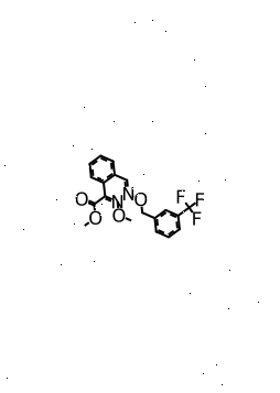 CON=C(C(=O)OC)c1ccccc1C=NOCc1cccc(C(F)(F)F)c1